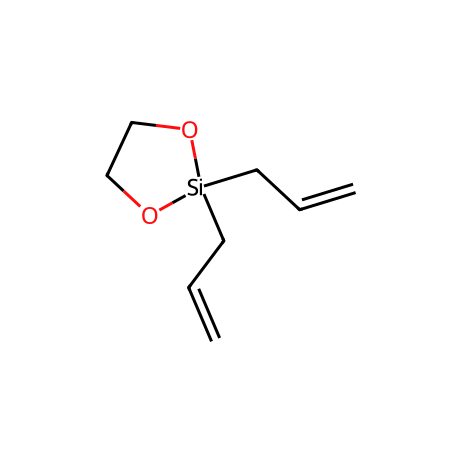 C=CC[Si]1(CC=C)OCCO1